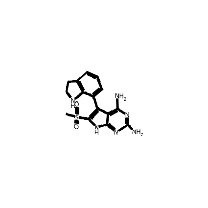 CS(=O)(=O)c1[nH]c2nc(N)nc(N)c2c1-c1cccc2c1NCC2